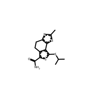 Cc1nc2c(s1)-c1c(SC(C)C)sc(C(N)=O)c1CC2